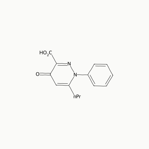 CCCc1cc(=O)c(C(=O)O)nn1-c1ccccc1